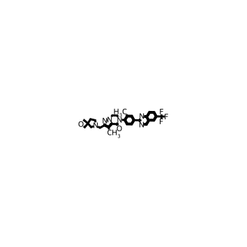 Cc1cc(-c2ncc3cc(C(F)(F)F)ccc3n2)ccc1N1CCn2nc(CN3CCC4(COC4)C3)c(C)c2C1=O